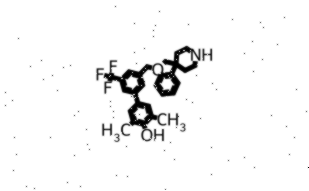 Cc1cc(-c2cc(COCC3(c4ccccc4)CCNCC3)cc(C(F)(F)F)c2)cc(C)c1O